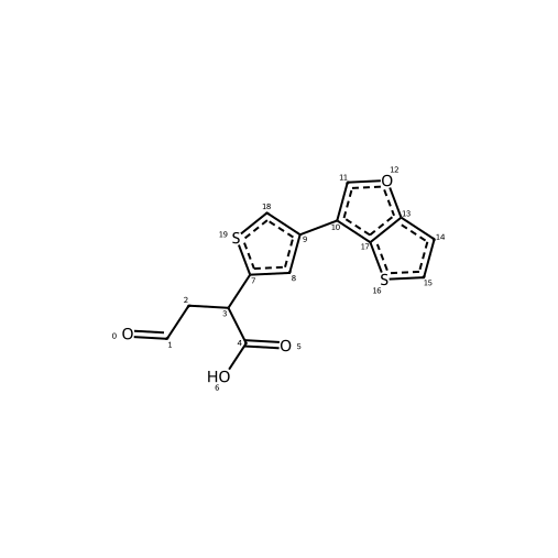 O=CCC(C(=O)O)c1cc(-c2coc3ccsc23)cs1